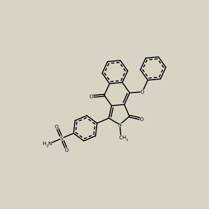 CN1C(=O)C2=C(Oc3ccccc3)c3ccccc3C(=O)C2=C1c1ccc(S(N)(=O)=O)cc1